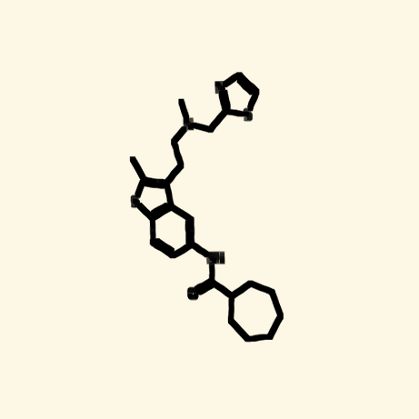 Cc1sc2ccc(NC(=O)C3CCCCCC3)cc2c1CCN(C)Cc1nccs1